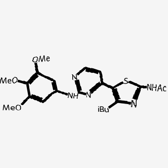 CCC(C)c1nc(NC(C)=O)sc1-c1ccnc(Nc2cc(OC)c(OC)c(OC)c2)n1